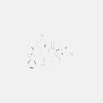 CCC(NC(=O)C(N/C(=N/S(C)(=O)=O)N1CCOCC1)SCC1CC1)C(=O)c1nc2ccccc2o1